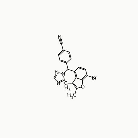 Cc1oc2c(Br)ccc(C(c3ccc(C#N)cc3)n3cncn3)c2c1C